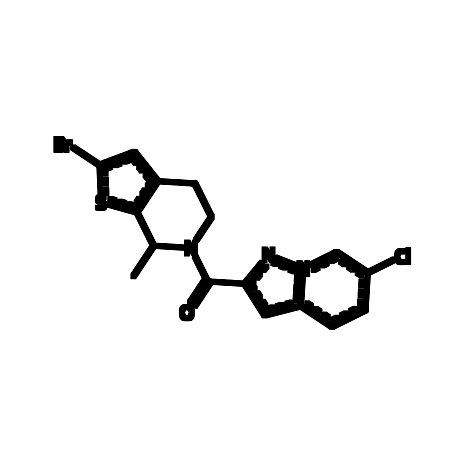 CC1c2sc(Br)cc2CCN1C(=O)c1cc2ccc(Cl)cn2n1